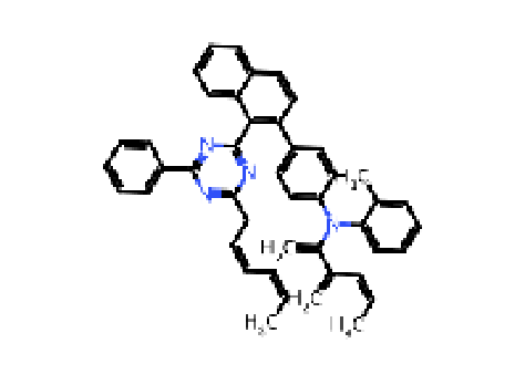 C=C(/C=C\C)C(=C)N(c1ccc(-c2ccc3ccccc3c2-c2nc(C/C=C\C=C/C)nc(-c3ccccc3)n2)cc1)c1ccccc1C